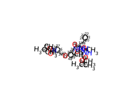 CC(=O)N[C@@H](CC(=O)OC(C)(C)C)C(=O)NC(CCc1ccccc1)C(=O)NCc1cc(OCCC2CCCN(C(=O)OC(C)(C)C)C2)ccc1C